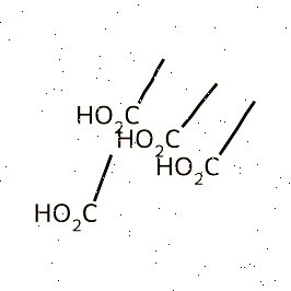 CC(=O)O.CC(=O)O.CC(=O)O.CC(=O)O